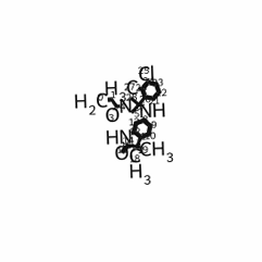 C=CC(=O)N1CC(Nc2ccc3c(c2)NC(=O)C3(C)C)(c2cccc(Cl)c2C)C1